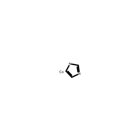 C1=CN=C[N]1.[Co]